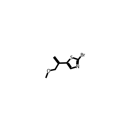 C=C(COC)c1cnc(Br)s1